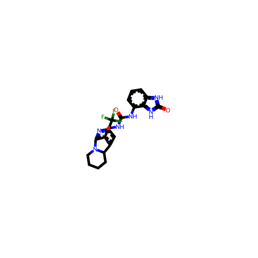 O=C(NCc1c2cc(C(F)(F)F)nc1N1CCCCC21)Nc1cccc2[nH]c(=O)[nH]c12